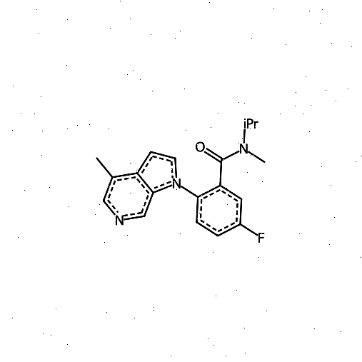 Cc1cncc2c1ccn2-c1ccc(F)cc1C(=O)N(C)C(C)C